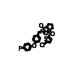 O=C(NCc1ccc(Oc2ccc(F)cc2)cc1)[C@@H]1CCCN1S(=O)(=O)c1ccc(Cl)s1